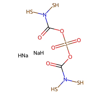 O=C(OS(=O)(=O)OC(=O)N(S)S)N(S)S.[NaH].[NaH]